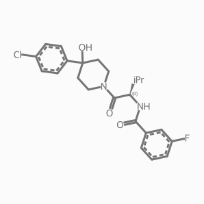 CC(C)[C@@H](NC(=O)c1cccc(F)c1)C(=O)N1CCC(O)(c2ccc(Cl)cc2)CC1